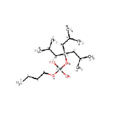 CCCC[O][Zr]([OH])([OH])[O][Si](CC(C)C)(CC(C)C)CC(C)C